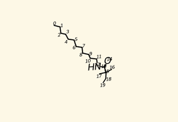 CCCCCCCCCCCCNC(=O)C(C)(C)CC